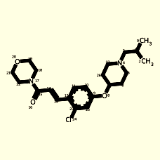 CC(C)CN1CCC(Oc2ccc(C=CC(=O)N3CCOCC3)c(Cl)c2)CC1